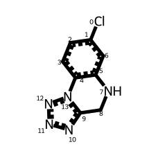 Clc1ccc2c(c1)NCc1nnnn1-2